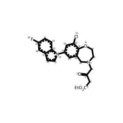 CCOC(=O)CC(=O)CN1CCOc2c(Cl)cc(-n3ccc4cc(F)ccc43)cc2C1